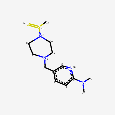 CN(C)c1ccc(CN2CCN(S(C)=S)CC2)cn1